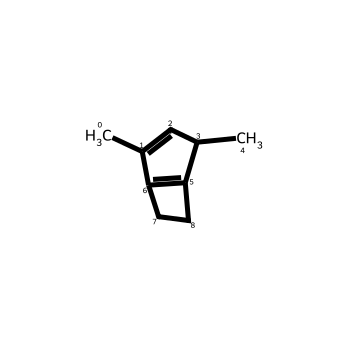 CC1=[C]C(C)C2=C1CC2